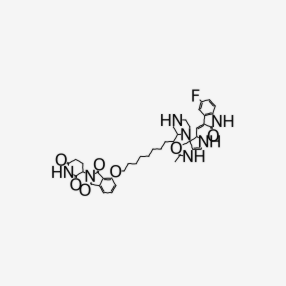 CC(=O)NC1=CNC(C=C2C(=O)Nc3ccc(F)cc32)C1(C)N1CCNCC1CCCCCCCCCOc1cccc2c1C(=O)N(C1CCC(=O)NC1=O)C2=O